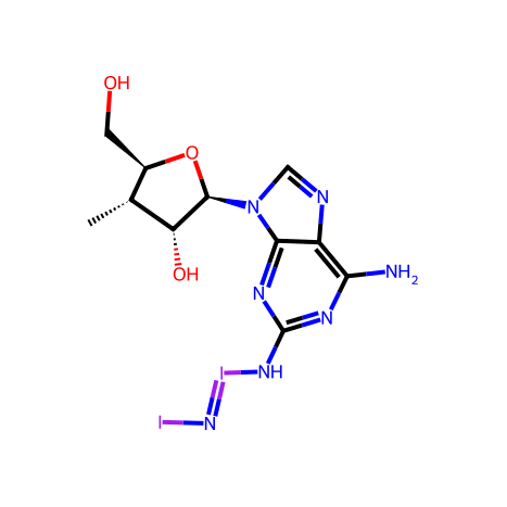 C[C@H]1[C@@H](O)[C@H](n2cnc3c(N)nc(N/I=N/I)nc32)O[C@@H]1CO